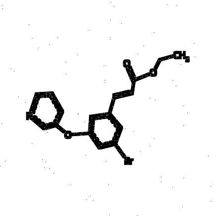 CCOC(=O)/C=C/c1cc(Br)cc(Oc2cccnc2)c1